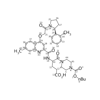 CCCCOC(=O)N1CCN(C(=O)C(CCC(=O)O)NC(=O)c2cc(OCC(=O)N3CCC[C@H]3c3ccccc3C)c3ccc(C)cc3n2)CC1